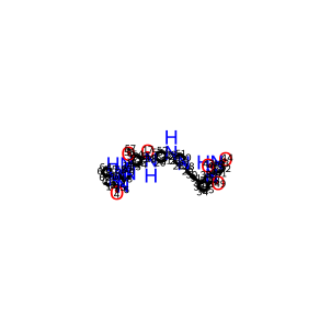 CC[C@@H]1C(=O)N(C)c2cnc(Nc3ccc(C(=O)N[C@H]4CC[C@@H](NC5CCN(CCC#Cc6cccc7c6CN(C6CCC(=O)NC6=O)C7=O)CC5)CC4)cc3OC)nc2N1C1CCCC1